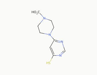 O=C(O)N1CCN(c2cc(S)ncn2)CC1